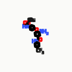 CC(C)(C)OC(=O)Nc1ccc(Oc2ccc(C(=O)Nc3ccc(C(F)(F)F)cc3)cc2N)cc1